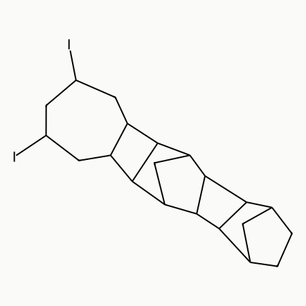 IC1CC(I)CC2C(C1)C1C3CC(C21)C1C2C4CCC(C4)C2C31